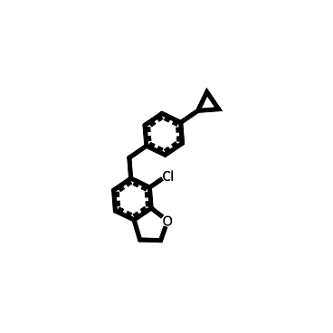 Clc1c(Cc2ccc(C3CC3)cc2)ccc2c1OCC2